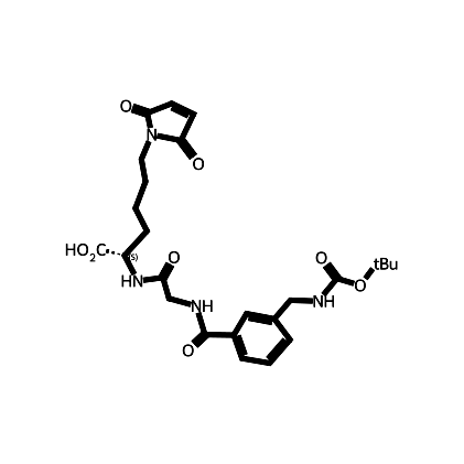 CC(C)(C)OC(=O)NCc1cccc(C(=O)NCC(=O)N[C@@H](CCCCN2C(=O)C=CC2=O)C(=O)O)c1